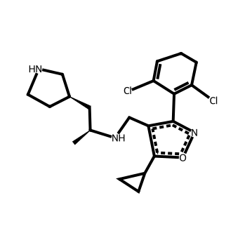 C[C@@H](C[C@H]1CCNC1)NCc1c(C2=C(Cl)CCC=C2Cl)noc1C1CC1